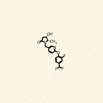 C[C@H]1[C@@H](O)CC(=O)N1Cc1ccc(Oc2ccc(C(F)F)cc2F)nc1